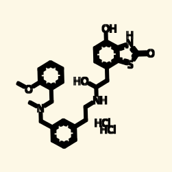 COc1ccccc1CN(C)Cc1cccc(CCNC(O)Cc2ccc(O)c3[nH]c(=O)sc23)c1.Cl.Cl